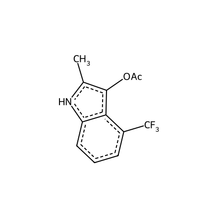 CC(=O)Oc1c(C)[nH]c2cccc(C(F)(F)F)c12